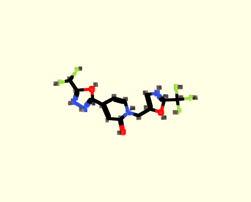 O=c1cc(-c2nnc(C(F)F)o2)ccn1Cc1cnc(C(F)(F)F)o1